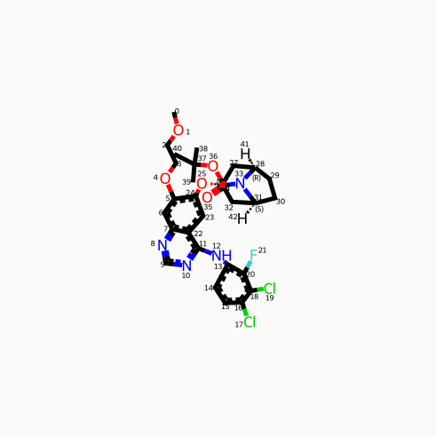 COCCOc1cc2ncnc(Nc3ccc(Cl)c(Cl)c3F)c2cc1O[C@@H]1C[C@H]2CC[C@@H](C1)N2C(=O)OC(C)(C)C